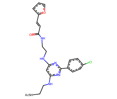 CC(=O)NCCNc1cc(NCCNC(=O)C=Cc2ccco2)nc(-c2ccc(Cl)cc2)n1